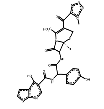 Cn1nnnc1C(=S)C1=C(C(=O)O)N2C(=O)C(NC(=O)C(NC(=O)c3cnc4sccc4c3O)c3ccc(O)cc3)[C@@H]2SC1